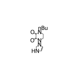 CCCCN1CCN(N2C=CNC2)C(=O)C1=O